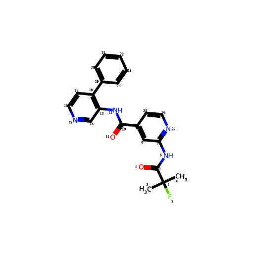 CC(C)(F)C(=O)Nc1cc(C(=O)Nc2cnccc2-c2ccccc2)ccn1